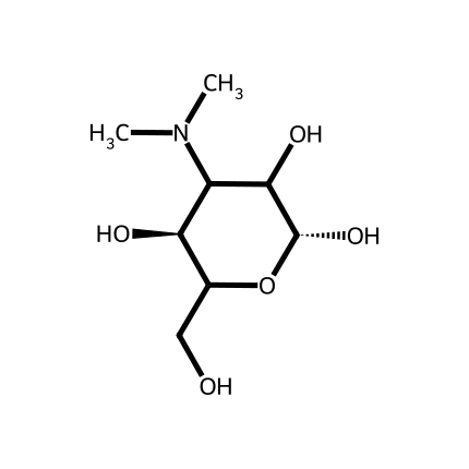 CN(C)C1C(O)[C@H](O)OC(CO)[C@H]1O